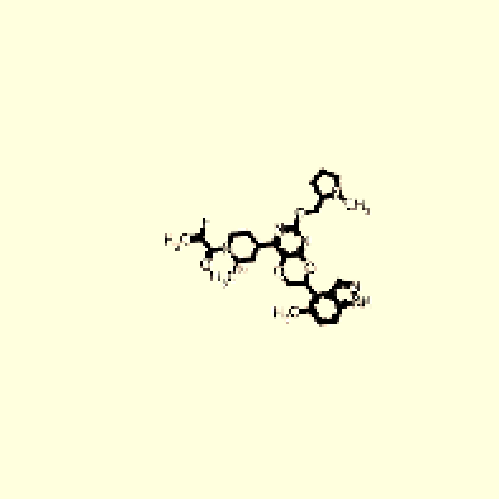 C=C(F)C(=O)N1CCC(c2nc(OCC3CCCN3C)nc3c2OCC(c2c(C)ccc4[nH]ncc24)O3)C[C@H]1C